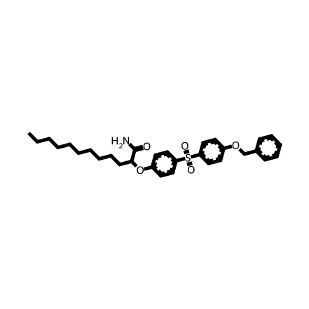 CCCCCCCCCCC(Oc1ccc(S(=O)(=O)c2ccc(OCc3ccccc3)cc2)cc1)C(N)=O